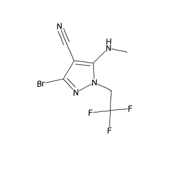 CNc1c(C#N)c(Br)nn1CC(F)(F)F